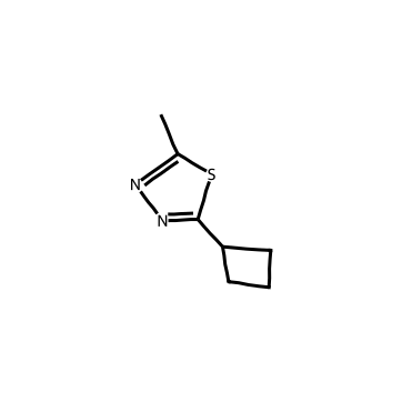 Cc1nnc(C2CCC2)s1